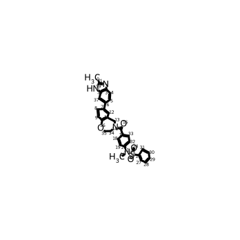 Cc1nc2ccc(-c3ccc4c(c3)CN(C(=O)c3ccc(N(C)S(=O)(=O)c5ccccc5)cc3)CCO4)cc2[nH]1